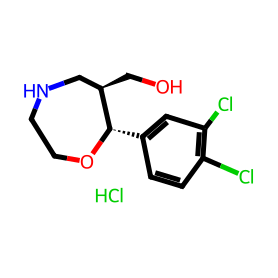 Cl.OC[C@@H]1CNCCO[C@H]1c1ccc(Cl)c(Cl)c1